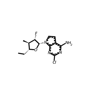 CC[C@H]1O[C@@H](n2ccc3c(N)nc(Cl)nc32)[C@@H](F)[C@@H]1C